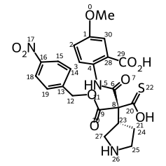 COc1ccc(NC(=O)[C@@](C(=O)OCc2ccc([N+](=O)[O-])cc2)(C(O)=S)[C@@H]2CCNC2)c(C(=O)O)c1